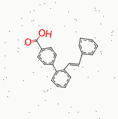 O=C(O)c1ccc(-c2ccccc2C=Cc2ccccc2)cc1